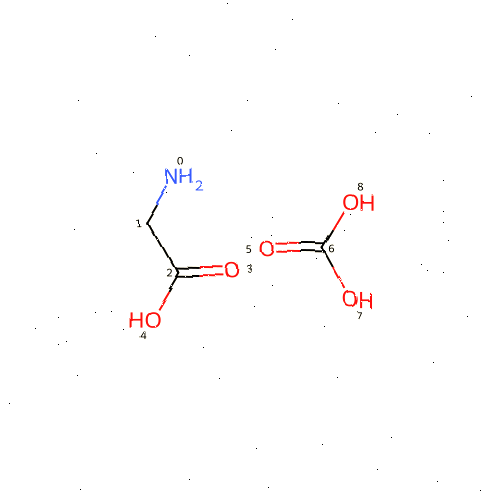 NCC(=O)O.O=C(O)O